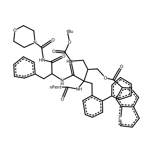 CCCCCC(=O)NC(Cc1ccccc1-c1ccccc1)(C(=O)NC(Cc1ccccc1)C(=O)NC(=O)N1CCOCC1)C(CNC(=O)OC(C)(C)C)COC(=O)c1cc2ccccc2cn1